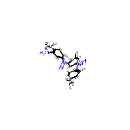 Cc1cc(Nc2ccc([Si](C)(C)C)cc2)cc(Nc2ccc([Si](C)(C)C)c(N)c2)c1